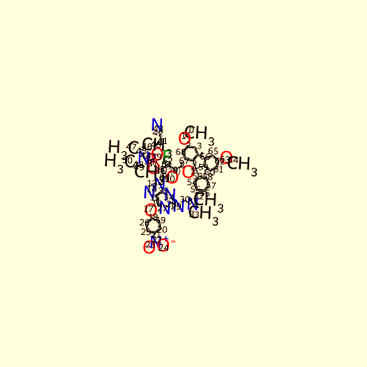 COc1ccc(C(OC[C@H]2O[C@@H](n3cnc4c(Oc5ccc([N+](=O)[O-])cc5)nc(N=CN(C)C)nc43)[C@H](OP(OCCC#N)N(C(C)C)C(C)C)[C@H]2F)(c2ccccc2)c2ccc(OC)cc2)cc1